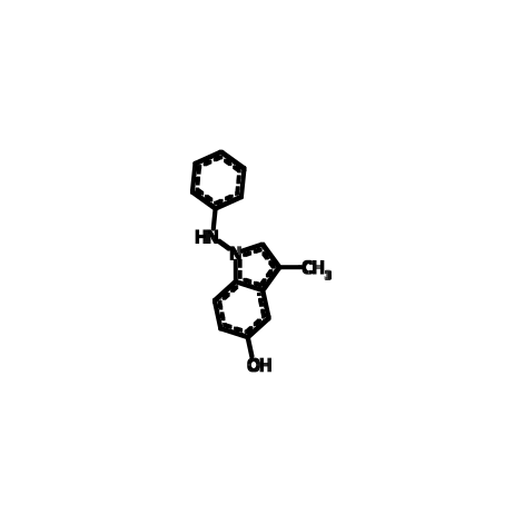 Cc1cn(Nc2ccccc2)c2ccc(O)cc12